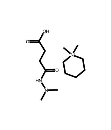 CN(C)NC(=O)CCC(=O)O.C[N+]1(C)CCCCC1